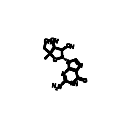 C[C@]1(CO)O[C@@H](n2cnc3c(=O)[nH]c(N)nc32)C(O)C1O